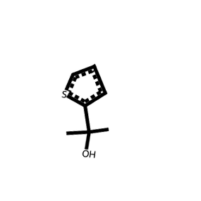 CC(C)(O)c1c[c]cs1